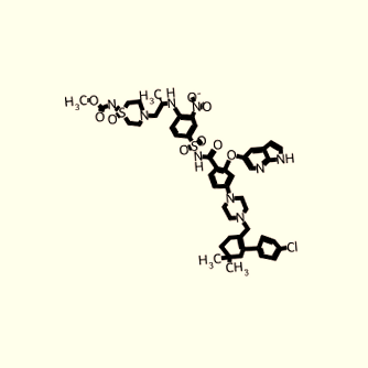 COC(=O)N=S1(=O)CCN(C[C@H](C)Nc2ccc(S(=O)(=O)NC(=O)c3ccc(N4CCN(CC5=C(c6ccc(Cl)cc6)CC(C)(C)CC5)CC4)cc3Oc3cnc4[nH]ccc4c3)cc2[N+](=O)[O-])CC1